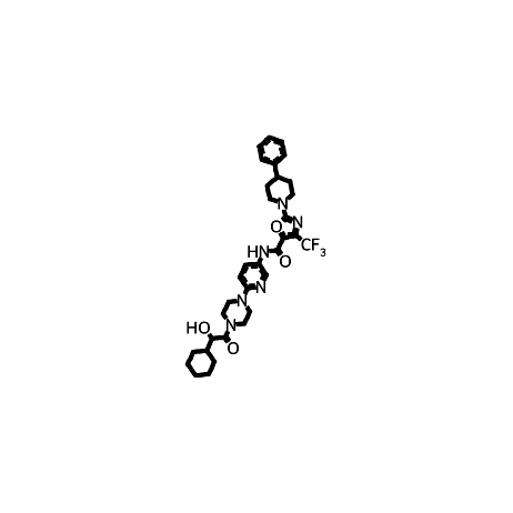 O=C(Nc1ccc(N2CCN(C(=O)C(O)C3CCCCC3)CC2)nc1)c1oc(N2CCC(c3ccccc3)CC2)nc1C(F)(F)F